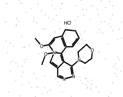 COC1=CC2=C(C=CCC2)C2=c3c(N4CCOCC4)nncc3=C[N+]12OC.Cl